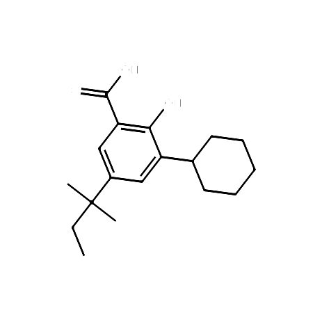 CCC(C)(C)c1cc(C(=O)O)c(O)c(C2CCCCC2)c1